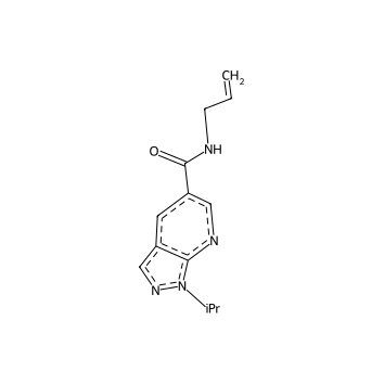 C=CCNC(=O)c1cnc2c(cnn2C(C)C)c1